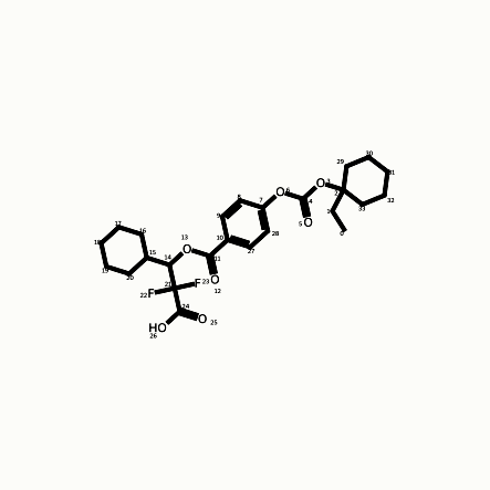 CCC1(OC(=O)Oc2ccc(C(=O)OC(C3CCCCC3)C(F)(F)C(=O)O)cc2)CCCCC1